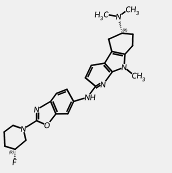 CN(C)[C@@H]1CCc2c(c3ccc(Nc4ccc5nc(N6CCC[C@@H](F)C6)oc5c4)nc3n2C)C1